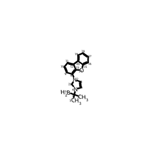 BC(C)(C)N1C=CN(c2cccc3c2oc2ccccc23)C1